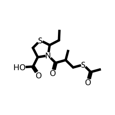 CCC1SCC(C(=O)O)N1C(=O)C(C)CSC(C)=O